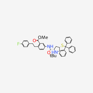 COC(=O)c1cc(NC(OC(C)(C)C)[C@@H]2C[C@H](SC(c3ccccc3)(c3ccccc3)c3ccccc3)CN2)ccc1CCc1ccc(F)cc1